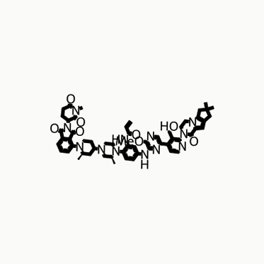 C=CC(=O)Nc1cc(Nc2nc(-c3ccnc(N4CCn5c(cc6c5CC(C)(C)C6)C4=O)c3CO)cnc2OC)ccc1N1CCN(C2CCN(c3cccc4c3C(=O)N(C3CCC(=O)N(C)C3=O)C4=O)[C@H](C)C2)C[C@@H]1C